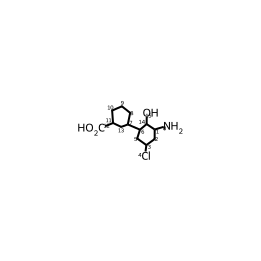 NC1CC(Cl)CC(C2CCCC(C(=O)O)C2)C1O